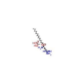 CC(O)C(=O)O.CCCCCCCCCCCCCCOC(=O)[C@@H](N)CCCNC(=N)N